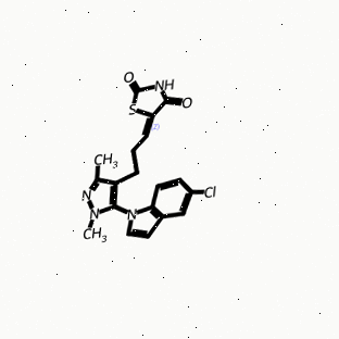 Cc1nn(C)c(-n2ccc3cc(Cl)ccc32)c1CC/C=C1\SC(=O)NC1=O